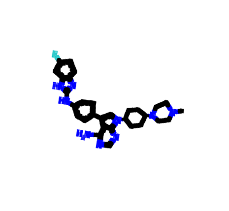 CN1CCN([C@H]2CC[C@@H](n3cc(-c4ccc(Nc5nc6ccc(F)cc6[nH]5)cc4)c4c(N)ncnc43)CC2)CC1